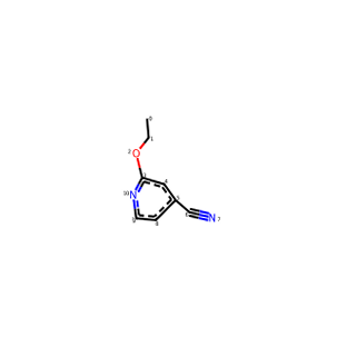 CCOc1cc(C#N)c[c]n1